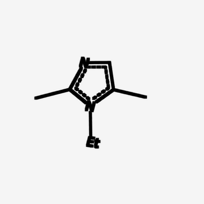 CCn1c(C)cnc1C